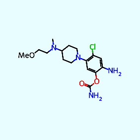 COCCN(C)C1CCN(c2cc(OC(N)=O)c(N)cc2Cl)CC1